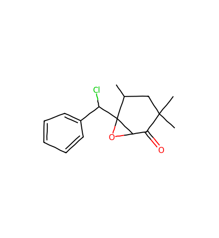 CC1CC(C)(C)C(=O)C2OC12C(Cl)c1ccccc1